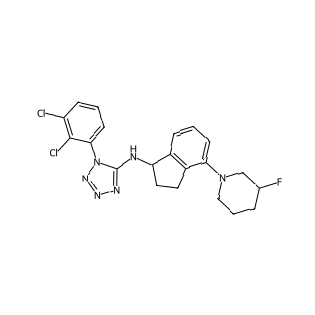 FC1CCCN(c2cccc3c2CCC3Nc2nnnn2-c2cccc(Cl)c2Cl)C1